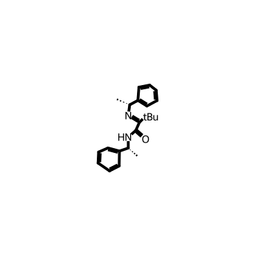 C[C@@H](N=C(C(=O)N[C@H](C)c1ccccc1)C(C)(C)C)c1ccccc1